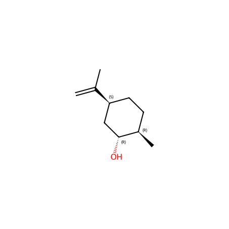 C=C(C)[C@H]1CC[C@@H](C)[C@H](O)C1